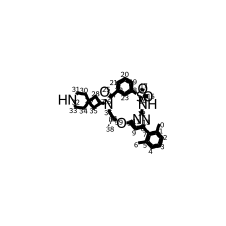 Cc1cccc(C)c1-c1cc2nc(n1)NS(=O)(=O)c1cccc(c1)C(=O)N(C1CC3(CCNCC3)C1)C[C@@H](C)O2